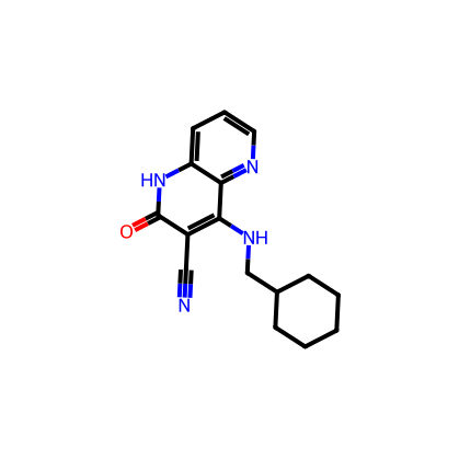 N#Cc1c(NCC2CCCCC2)c2ncccc2[nH]c1=O